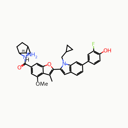 COc1cc(C(=O)N2CC3CCC2[C@@H]3N)cc2oc(-c3cc4ccc(-c5ccc(O)c(F)c5)cc4n3CC3CC3)c(C)c12